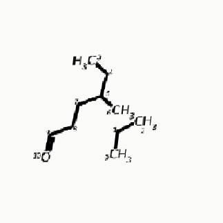 CCC.CCC(C)CCC=O